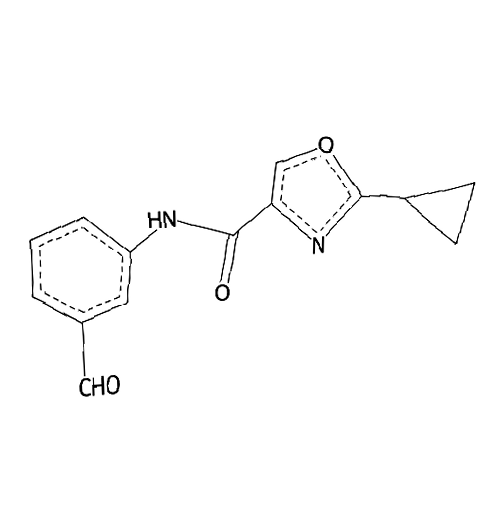 O=Cc1cccc(NC(=O)c2coc(C3CC3)n2)c1